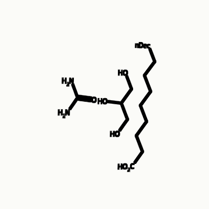 CCCCCCCCCCCCCCCCCC(=O)O.NC(N)=O.OCC(O)CO